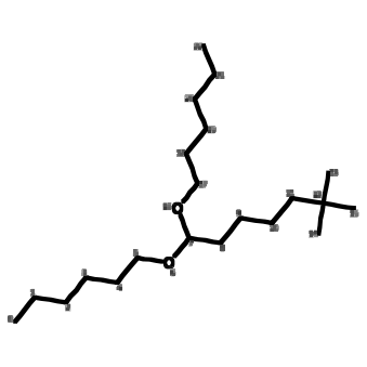 CCCCCCOC(CCCCC(C)(C)C)OCCCCCC